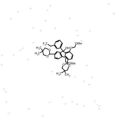 COCOc1ccc(C2OCC(C)(C)CO2)cc1C(O)(c1cccc(CC(F)(F)F)c1)c1cc(C2OCC(C)(C)CO2)ccc1OCOC